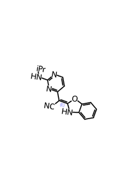 CC(C)Nc1nccc(/C(C#N)=C2/Nc3ccccc3O2)n1